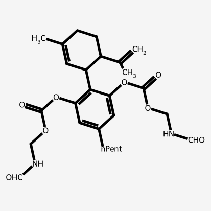 C=C(C)C1CCC(C)=CC1c1c(OC(=O)OCNC=O)cc(CCCCC)cc1OC(=O)OCNC=O